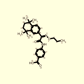 CCCON=C(C(=O)Nc1ccc(C(=O)O)cc1)c1ccc2c(c1)C(C)(C)CCC2(C)C